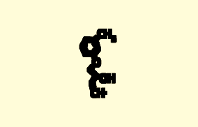 [CH]=CC(O)COc1cccc(C)c1